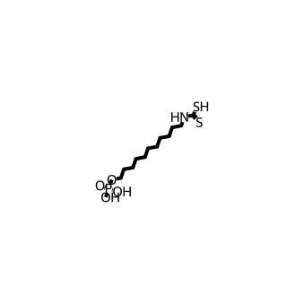 O=P(O)(O)OCCCCCCCCCCCNC(=S)S